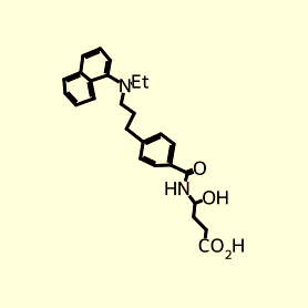 CCN(CCCc1ccc(C(=O)NC(O)CCC(=O)O)cc1)c1cccc2ccccc12